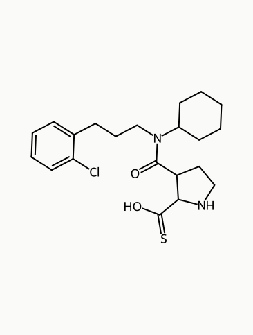 O=C(C1CCNC1C(O)=S)N(CCCc1ccccc1Cl)C1CCCCC1